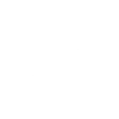 CCOC(=O)C1(NC(=O)OC2CCN(C(=O)OC)CC2)CCCCC1